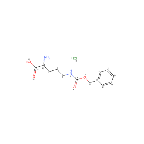 Cl.N[C@H](CCCNC(=O)OCc1ccccc1)C(=O)O